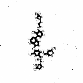 N#Cc1cncc(COc2cc(O[C@H]3CCc4c(-c5cccc(OCCCN6CC(F)(F)C6)c5Cl)cccc43)c(Cl)cc2CNC[C@H]2CCC(=O)N2)c1